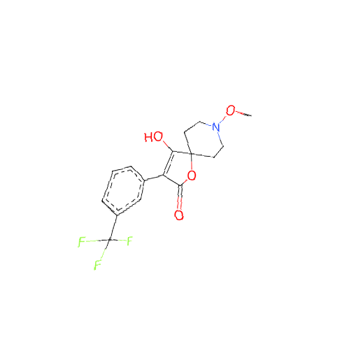 CON1CCC2(CC1)OC(=O)C(c1cccc(C(F)(F)F)c1)=C2O